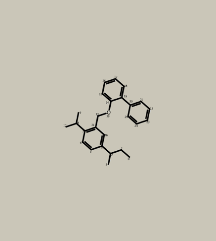 CCC(C)c1ccc(C(C)C)c(COc2ccccc2-c2ccccc2)c1